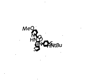 COc1ccc(C(=O)N[C@@H](Cc2cccs2)C(=O)Nc2ccc(SNC(C)(C)C)cc2)nc1